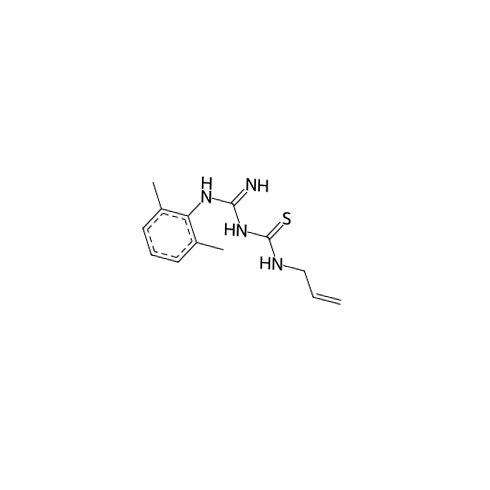 C=CCNC(=S)NC(=N)Nc1c(C)cccc1C